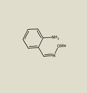 CO/N=C\c1ccccc1N